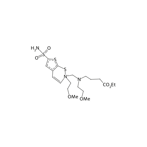 CCOC(=O)CCCN(CCOC)C[N+]1(CCOC)C=Cc2cc(S(N)(=O)=O)sc2S1